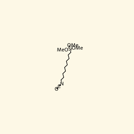 CO[Si](CCCCCCCCCCN=C=O)(OC)OC